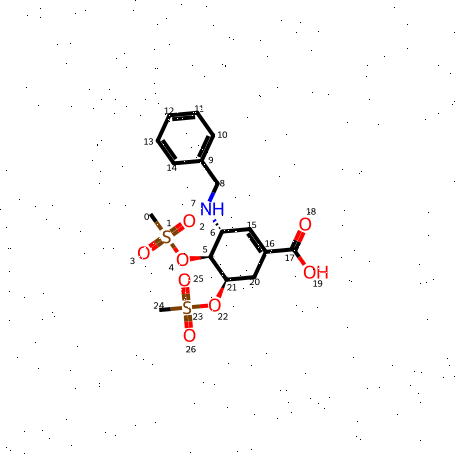 CS(=O)(=O)O[C@H]1[C@H](NCc2ccccc2)C=C(C(=O)O)C[C@H]1OS(C)(=O)=O